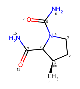 C[C@@H]1CCN(C(N)=O)C1C(N)=O